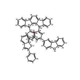 c1ccc(-c2nc3cccc(-c4nc(-c5ccc6oc7ccccc7c6c5)nc(-n5c6ccccc6c6ccc7c8ccccc8n(-c8ccccc8)c7c65)n4)c3s2)cc1